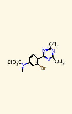 CCOC(=O)N(C)c1ccc(-c2nc(C(Cl)(Cl)Cl)nc(C(Cl)(Cl)Cl)n2)c(Br)c1